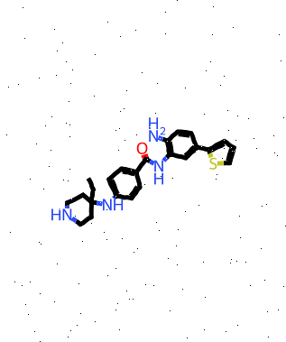 CCC1(Nc2ccc(C(=O)Nc3cc(-c4cccs4)ccc3N)cc2)CCNCC1